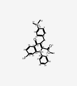 COC(=O)c1c(Cc2ccc(N(C)C)cc2)c(=O)c2ccc(F)cc2n1-c1ccccc1